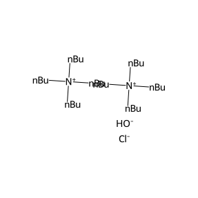 CCCC[N+](CCCC)(CCCC)CCCC.CCCC[N+](CCCC)(CCCC)CCCC.[Cl-].[OH-]